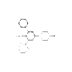 CCN1CCN(c2cc(-c3ccccc3)c(OC)c(C3OCCCO3)c2)CC1